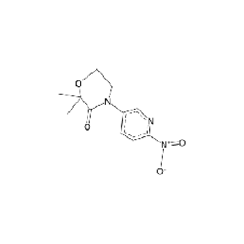 CC1(C)OCCN(c2ccc([N+](=O)[O-])nc2)C1=O